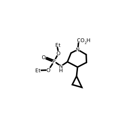 CCOP(=O)(NC1CN(C(=O)O)CCC1C1CC1)OCC